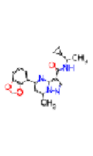 Cc1cc(-c2cccc3c2OCO3)nc2c(C(=O)NC(C)C3CC3)cnn12